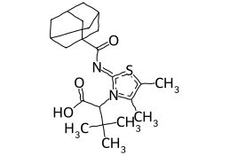 Cc1sc(=NC(=O)C23CC4CC(CC(C4)C2)C3)n(C(C(=O)O)C(C)(C)C)c1C